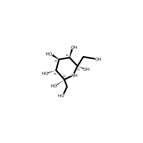 OC[C@@]1(O)N[C@@](O)(CO)[C@H](O)[C@@H](O)[C@H]1O